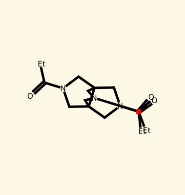 CCC(=O)N1CC23CN(C(=O)CC)CC2(C1)CN(C(=O)CC)C3